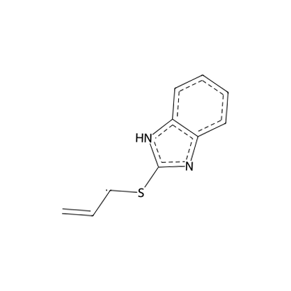 C=C[CH]Sc1nc2ccccc2[nH]1